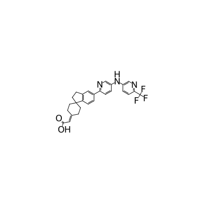 O=C(O)C=C1CCC2(CC1)CCc1cc(-c3ccc(Nc4ccc(C(F)(F)F)nc4)cn3)ccc12